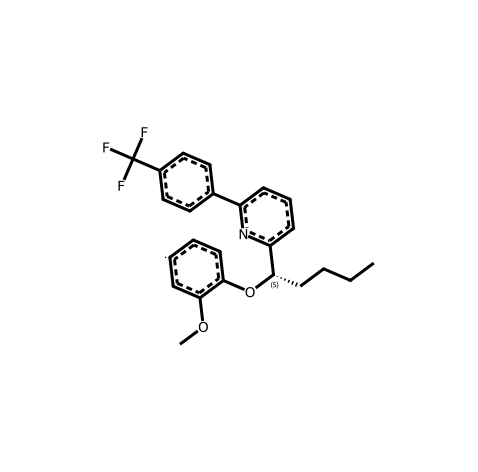 CCCC[C@H](Oc1cc[c]cc1OC)c1cccc(-c2ccc(C(F)(F)F)cc2)n1